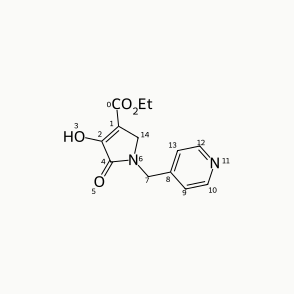 CCOC(=O)C1=C(O)C(=O)N(Cc2ccncc2)C1